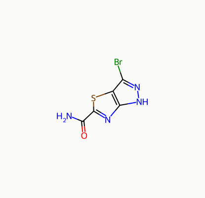 NC(=O)c1nc2[nH]nc(Br)c2s1